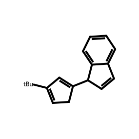 CC(C)(C)C1=CCC([C]2C=Cc3ccccc32)=C1